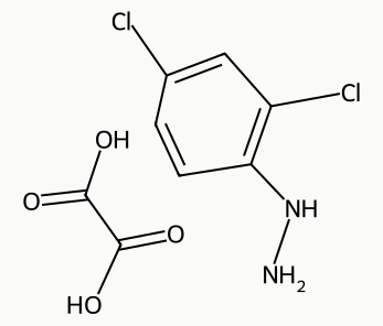 NNc1ccc(Cl)cc1Cl.O=C(O)C(=O)O